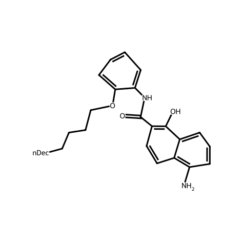 CCCCCCCCCCCCCCOc1ccccc1NC(=O)c1ccc2c(N)cccc2c1O